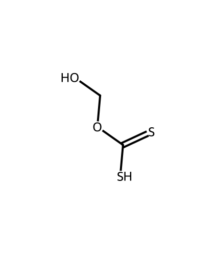 OCOC(=S)S